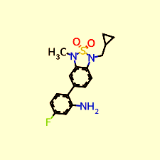 CN1c2cc(-c3ccc(F)cc3N)ccc2N(CC2CC2)S1(=O)=O